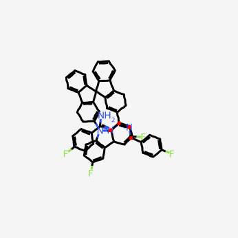 N/C(=N\C(=N/Cc1ccc(F)cc1)C1=CC2=C(CC1)c1ccccc1C21C2=C(CCC(N3c4ccc(F)cc4C4C=C(F)C=CC43)=C2)c2ccccc21)C1=CC=C(F)CC1